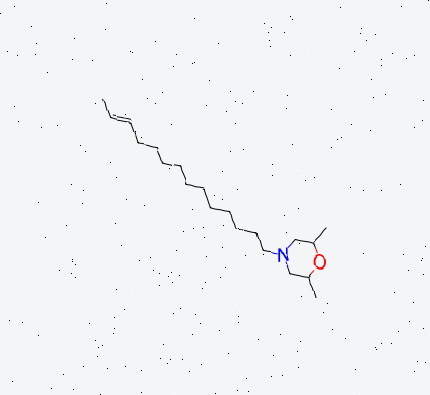 CC=CCCCCCCCCCCCN1CC(C)OC(C)C1